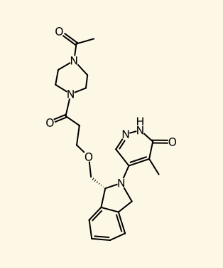 CC(=O)N1CCN(C(=O)CCOC[C@H]2c3ccccc3CN2c2cn[nH]c(=O)c2C)CC1